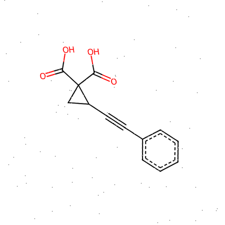 O=C(O)C1(C(=O)O)CC1C#Cc1ccccc1